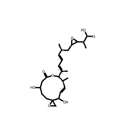 CCC(O)C(C)C1OC1CC(C)/C=C/C=C(\C)C1OC(=O)CC(O)CCC2(CO2)C(O)/C=C/C1C